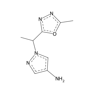 Cc1nnc(C(C)n2cc(N)cn2)o1